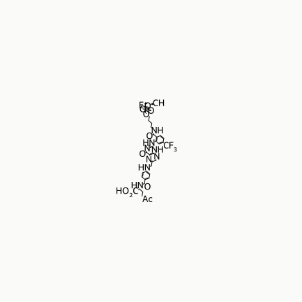 C#COP(=O)(OCC)OCCCCNC(=O)c1ccc(C(F)(F)F)cc1Nc1nc(=O)c2nc(CNc3ccc(C(=O)N[C@@H](CCC(C)=O)C(=O)O)cc3)cnc2[nH]1